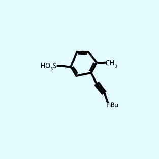 CCCCC#Cc1cc(S(=O)(=O)O)ccc1C